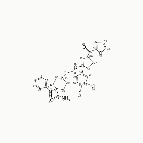 NC(=O)C1(Nc2ccccc2)CCN(CCOC2(c3ccc(Cl)c(Cl)c3)CCN(C(=O)c3ccco3)C2)CC1